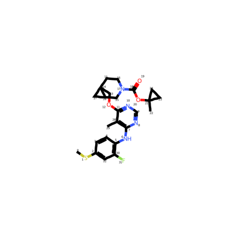 CSc1ccc(Nc2ncnc(OCC34CCN(C(=O)OC5(C)CC5)CC3C4)c2C)c(F)c1